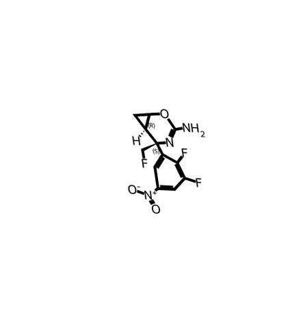 NC1=N[C@](CF)(c2cc([N+](=O)[O-])cc(F)c2F)[C@H]2CC2O1